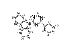 Cc1cccc(-c2ncnc(-n3c4ccccc4c4ccccc43)n2)c1